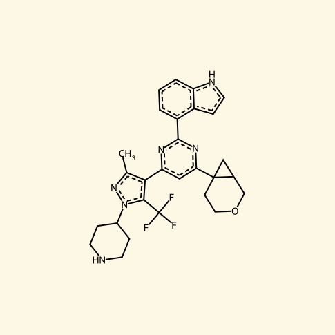 Cc1nn(C2CCNCC2)c(C(F)(F)F)c1-c1cc(C23CCOCC2C3)nc(-c2cccc3[nH]ccc23)n1